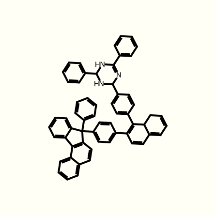 C1=CCC2C(=C1)C=CC(c1ccc(C3(c4ccccc4)c4ccccc4-c4c3ccc3ccccc43)cc1)=C2c1ccc(C2N=C(c3ccccc3)NC(c3ccccc3)N2)cc1